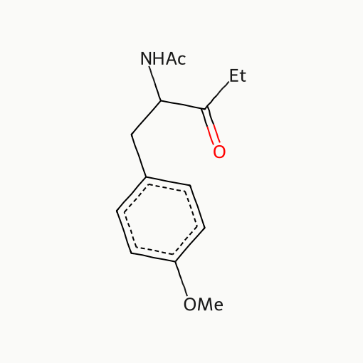 CCC(=O)C(Cc1ccc(OC)cc1)NC(C)=O